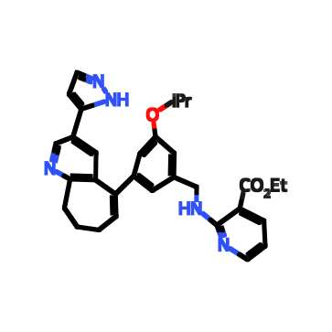 CCOC(=O)c1cccnc1NCc1cc(OC(C)C)cc(C2=CCCCc3ncc(-c4ccn[nH]4)cc32)c1